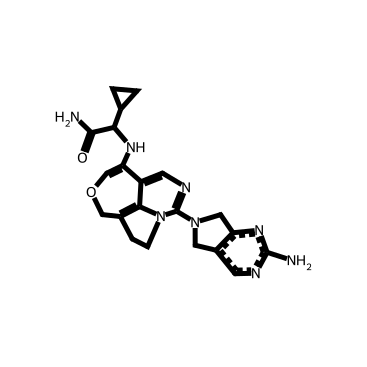 NC(=O)C(NC1=COCC2=C3C1=CN=C(N1Cc4cnc(N)nc4C1)N3CC2)C1CC1